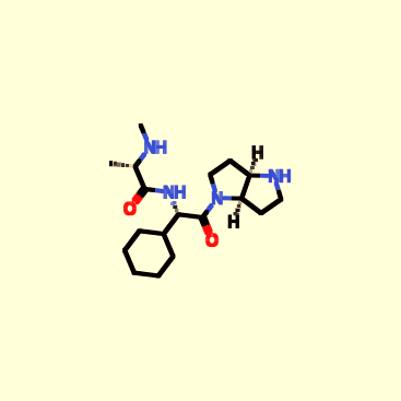 CN[C@@H](C)C(=O)N[C@H](C(=O)N1CC[C@H]2NCC[C@H]21)C1CCCCC1